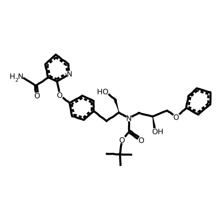 CC(C)(C)OC(=O)N(C[C@H](O)COc1ccccc1)[C@H](CO)Cc1ccc(Oc2ncccc2C(N)=O)cc1